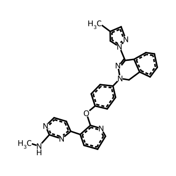 CNc1nccc(-c2cccnc2Oc2ccc(N3Cc4ccccc4C(n4cc(C)cn4)=N3)cc2)n1